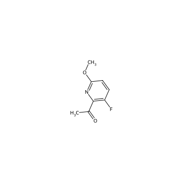 COc1ccc(F)c(C(C)=O)n1